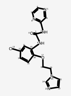 O=C(Nc1cnccn1)Nc1cc(Cl)ccc1OCCn1ccnc1